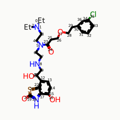 CCN(CC)CCN(CCNC[C@@H](O)c1ccc(O)c2[nH]c(=O)sc12)C(=O)CCOCCc1cccc(Cl)c1